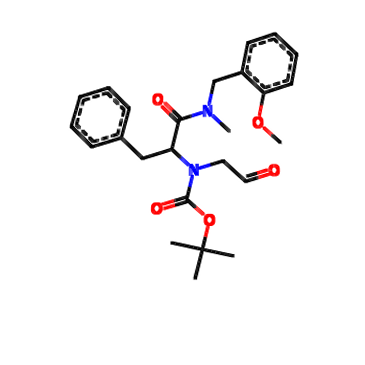 COc1ccccc1CN(C)C(=O)C(Cc1ccccc1)N(CC=O)C(=O)OC(C)(C)C